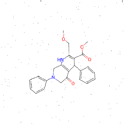 COCC1=C(C(=O)OC)C(c2ccccc2)C2=C(CN(c3ccccc3)CC2=O)N1